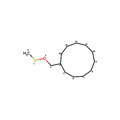 CSOCC1CCCCCCCCCC1